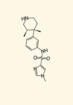 C[C@H]1CNCC[C@]1(C)c1cccc(NS(=O)(=O)c2cn(C)cn2)c1